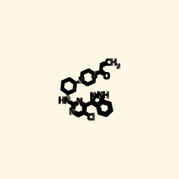 C=CC(=O)N1CCN([C@H]2CCC[C@@H](Nc3ncc(Cl)c(-c4n[nH]c5ccccc45)n3)C2)CC1